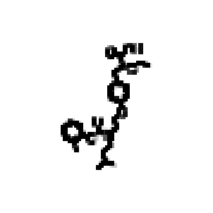 CCOC(Cc1ccc(OCCN(CCC(C)C)C(=O)Oc2ccccc2C)cc1)C(=O)O